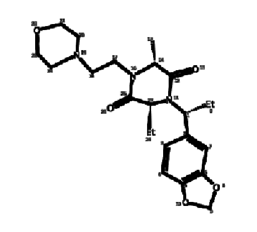 CC[C@H](c1ccc2c(c1)OCO2)N1C(=O)[C@@H](C)N(CCN2CCOCC2)C(=O)[C@@H]1CC